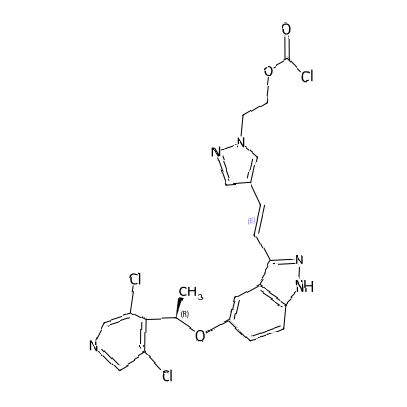 C[C@@H](Oc1ccc2[nH]nc(/C=C/c3cnn(CCOC(=O)Cl)c3)c2c1)c1c(Cl)cncc1Cl